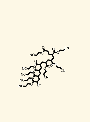 CCC(CC(CC(CC(CC(CC(CC(CCC(=O)OCCC#N)C(=O)OCCC#N)C(=O)OCCC#N)C(=O)OCCC#N)C(=O)OCCC#N)C(=O)OCCC#N)C(=O)OCCC#N)C(=O)OCCC#N